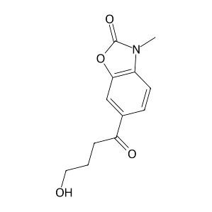 Cn1c(=O)oc2cc(C(=O)CCCO)ccc21